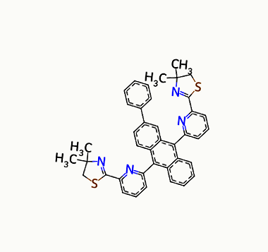 CC1(C)CSC(c2cccc(-c3c4ccccc4c(-c4cccc(C5=NC(C)(C)CS5)n4)c4cc(-c5ccccc5)ccc34)n2)=N1